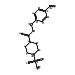 CCCS(=O)(=O)N1CCN(C(=O)COc2ccc(OC)cc2)CC1